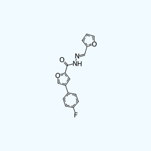 O=C(N/N=C/c1ccco1)c1cc(-c2ccc(F)cc2)co1